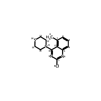 Cc1cccc2nc(Cl)nc(N3CCSCC3)c12